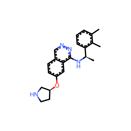 Cc1cccc([C@@H](C)Nc2nncc3ccc(O[C@H]4CCNC4)cc23)c1C